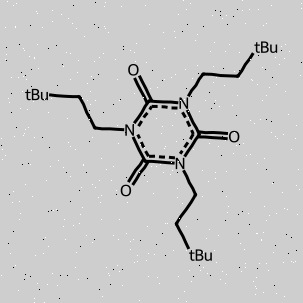 CC(C)(C)CCn1c(=O)n(CCC(C)(C)C)c(=O)n(CCC(C)(C)C)c1=O